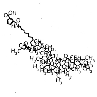 CC[C@H](NC(=O)C(C[C@H](C)CCCCCCCNC(=O)c1cccc(C(=O)O)c1)N(C)C(=O)CC(C)C)C(=O)N(C)CC(=O)N(C)[C@@H](CC(C)C)C(=O)N[C@H](C(=O)N(C)[C@@H](CC(C)C)C(=O)N[C@H](C)C(=O)NC(C)C(=O)N(C)[C@@H](CC(C)C)C(=O)N(C)[C@@H](CC(C)C)C(=O)NC)C(C)C